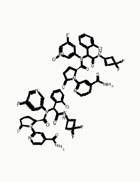 NC(=O)c1ccnc(N2C(=O)CC[C@H]2C(=O)N(c2cc(F)c[n+]([O-])c2)C(C(=O)NC2CC(F)(F)C2)c2ccccc2Cl)c1.NC(=O)c1ccnc(N2C(=O)CC[C@H]2C(=O)N(c2cncc(F)c2)C(C(=O)NC2CC(F)(F)C2)c2ccccc2Cl)c1